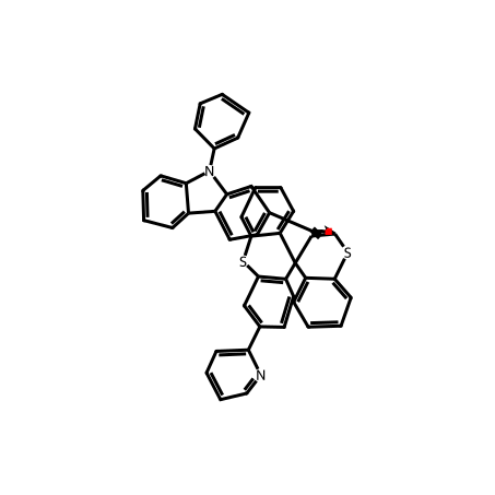 c1ccc(-n2c3ccccc3c3ccc(-c4cccc5c4C4(c6ccccc6Sc6cc(-c7ccccn7)ccc64)c4ccccc4S5)cc32)cc1